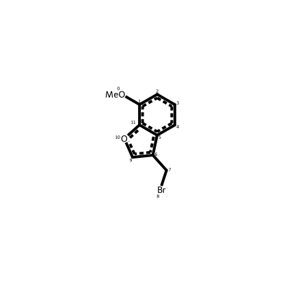 COc1cccc2c(CBr)coc12